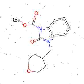 CC(C)(C)OC(=O)n1c(=O)n(CC2CCOCC2)c2ccccc21